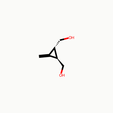 C=C1[C@H](CO)[C@H]1CO